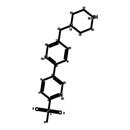 CS(=O)(=O)c1ccc(-c2ccc(CN3CCNCC3)cn2)cn1